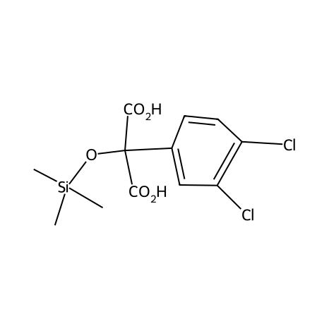 C[Si](C)(C)OC(C(=O)O)(C(=O)O)c1ccc(Cl)c(Cl)c1